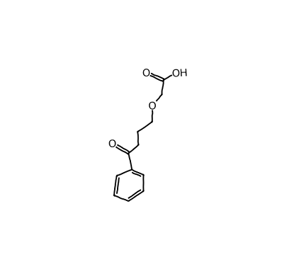 O=C(O)COCCCC(=O)c1ccccc1